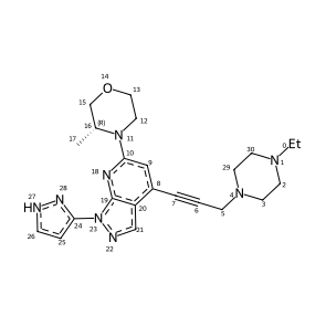 CCN1CCN(CC#Cc2cc(N3CCOC[C@H]3C)nc3c2cnn3-c2cc[nH]n2)CC1